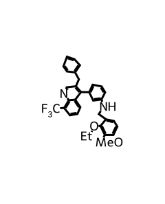 CCOc1c(CNc2cccc(-c3c(Cc4ccccc4)cnc4c(C(F)(F)F)cccc34)c2)cccc1OC